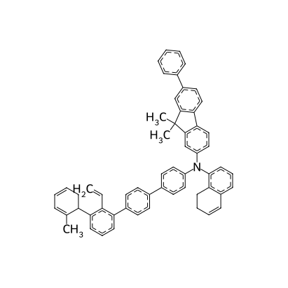 C=Cc1c(-c2ccc(-c3ccc(N(c4ccc5c(c4)C(C)(C)c4cc(-c6ccccc6)ccc4-5)c4cccc5c4CCC=C5)cc3)cc2)cccc1C1CC=CC=C1C